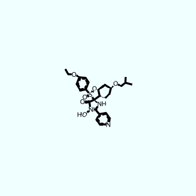 CCOc1ccc(S(=O)(=O)[C@@](NCc2ccncc2)(C(=O)NO)[C@H]2CC[C@H](OCC(C)C)CC2)cc1